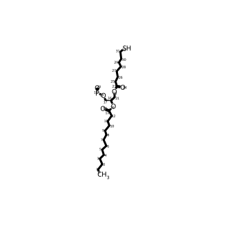 CCCCCCCCCCCCCC(=O)O[C@@H](COP=O)COC(=O)CCCCCCCS